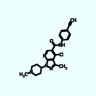 C#Cc1ccc(NC(=O)c2cnc3c(c(C)nn3C3CCN(C)CC3)c2Cl)cc1